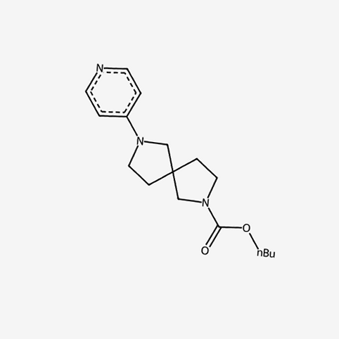 CCCCOC(=O)N1CCC2(CCN(c3ccncc3)C2)C1